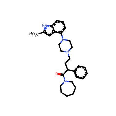 O=C(O)c1cc2c(N3CCN(CCC(C(=O)N4CCCCCC4)c4ccccc4)CC3)cccc2[nH]1